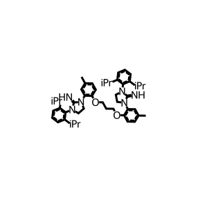 Cc1ccc(OCCCOc2ccc(C)cc2N2CCN(c3c(C(C)C)cccc3C(C)C)C2=N)c(N2CCN(c3c(C(C)C)cccc3C(C)C)C2=N)c1